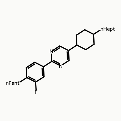 CCCCCCCC1CCC(c2cnc(-c3ccc(CCCCC)c(F)c3)nc2)CC1